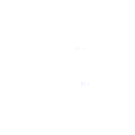 CCCCC(N)[C@@H](C)O